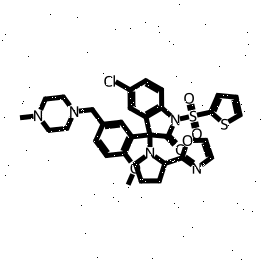 COc1ccc(CN2CCN(C)CC2)cc1C1(N2CCCC2c2ncco2)C(=O)N(S(=O)(=O)c2cccs2)c2ccc(Cl)cc21